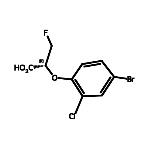 O=C(O)[C@H](CF)Oc1ccc(Br)cc1Cl